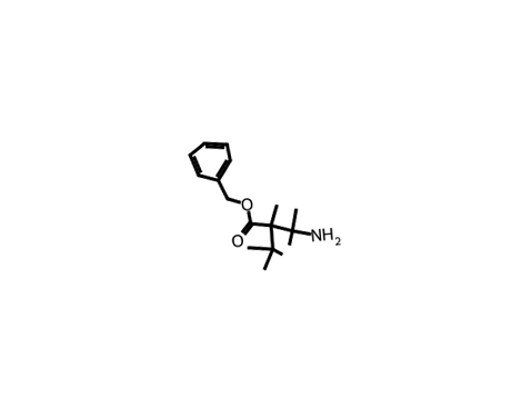 CC(C)(C)C(C)(C(=O)OCc1ccccc1)C(C)(C)N